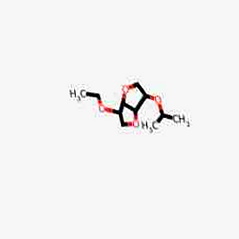 CCOC1COC2C(OC(C)C)COC12